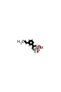 CC=Cc1cccc(C(CI)C[Si](Cl)(OCC)OCC)c1